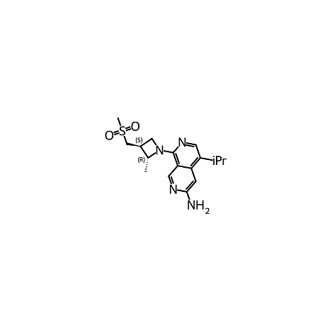 CC(C)c1cnc(N2C[C@H](CS(C)(=O)=O)[C@H]2C)c2cnc(N)cc12